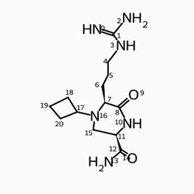 N=C(N)NCCC[C@H]1C(=O)N[C@@H](C(N)=O)CN1C1CCC1